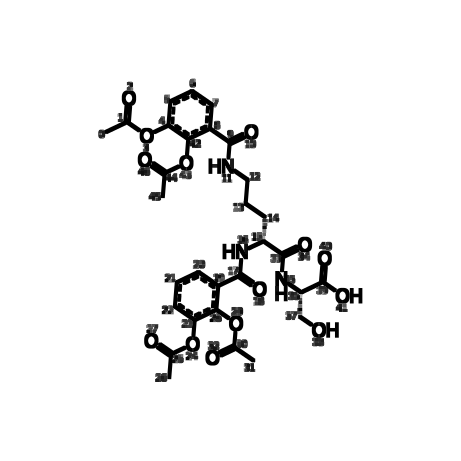 CC(=O)Oc1cccc(C(=O)NCCC[C@@H](NC(=O)c2cccc(OC(C)=O)c2OC(C)=O)C(=O)N[C@@H](CO)C(=O)O)c1OC(C)=O